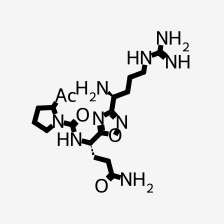 CC(=O)C1CCCN1C(=O)N[C@@H](CCC(N)=O)c1nc([C@@H](N)CCCNC(=N)N)no1